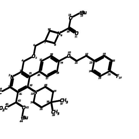 Cc1nc(COCC2CN(C(=O)OC(C)(C)C)C2)c(-c2ccc(OCCc3ccc(F)cc3)cc2)c(N2CCC(C)(C)CC2)c1C(OC(C)(C)C)C(=O)O